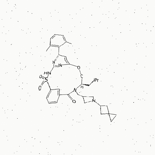 Cc1cccc(C)c1-c1cc2nc(n1)NS(=O)(=O)c1cccc(c1)C(=O)N(C1CN(C3CC4(CC4)C3)C1)[C@H](CC(C)C)CO2